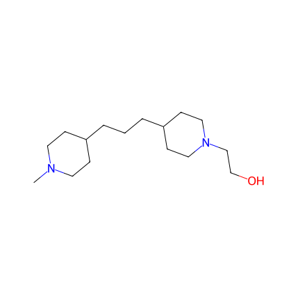 CN1CCC(CCCC2CCN(CCO)CC2)CC1